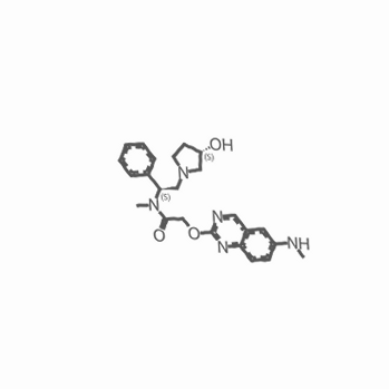 CNc1ccc2nc(OCC(=O)N(C)[C@H](CN3CC[C@H](O)C3)c3ccccc3)ncc2c1